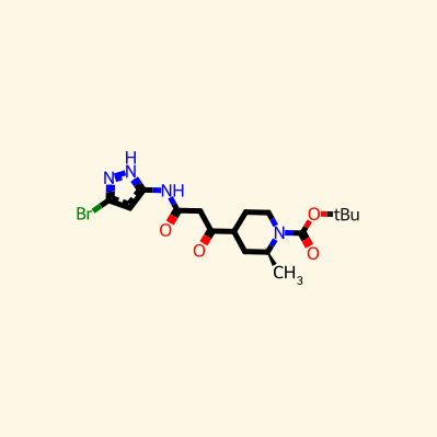 C[C@H]1CC(C(=O)CC(=O)Nc2cc(Br)n[nH]2)CCN1C(=O)OC(C)(C)C